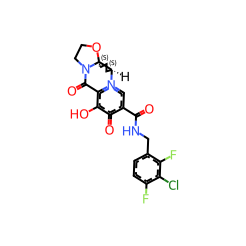 O=C(NCc1ccc(F)c(Cl)c1F)c1cn2c(c(O)c1=O)C(=O)N1CCO[C@]13CCC[C@H]23